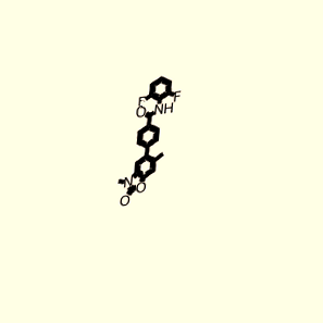 Cc1cc2oc(=O)n(C)c2cc1-c1ccc(C(=O)Nc2c(F)cccc2F)cc1